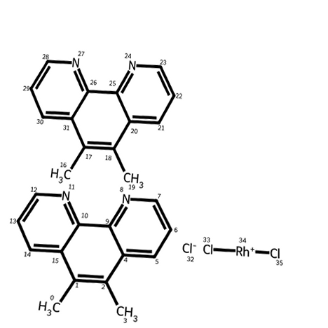 Cc1c(C)c2cccnc2c2ncccc12.Cc1c(C)c2cccnc2c2ncccc12.[Cl-].[Cl][Rh+][Cl]